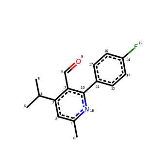 Cc1cc(C(C)C)c(C=O)c(-c2ccc(F)cc2)n1